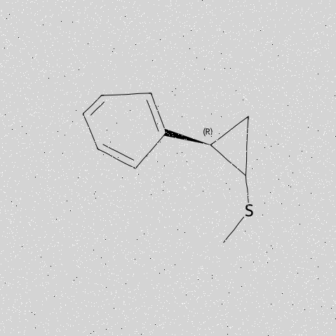 CSC1C[C@@H]1c1ccccc1